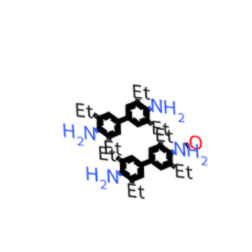 C=O.CCc1cc(-c2cc(CC)c(N)c(CC)c2)cc(CC)c1N.CCc1cc(-c2cc(CC)c(N)c(CC)c2)cc(CC)c1N